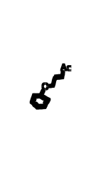 CC(=O)/C=C/COc1ccccc1